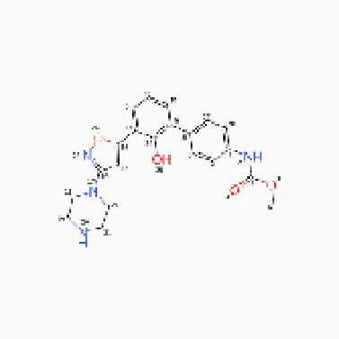 COC(=O)Nc1ccc(-c2cccc(-c3cc(N4CCNCC4)no3)c2O)cc1